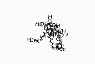 CCCCCCCCCCCCCCCC(=O)N(CCCCCCCCCCCCCC)[C@@H]1O[C@H](CO)[C@@H](O)[C@H](O)[C@H]1NC(=O)[C@H](C)NC(=O)OCc1ccccc1